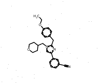 CCOc1ccc(Cc2nc(-c3cccc(C#N)c3)cn2CC2CCOCC2)cc1